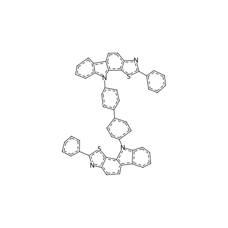 c1ccc(-c2nc3ccc4c5ccccc5n(-c5ccc(-c6ccc(-n7c8ccccc8c8ccc9nc(-c%10ccccc%10)sc9c87)cc6)cc5)c4c3s2)cc1